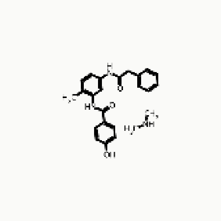 CNC.Cc1ccc(NC(=O)Cc2ccccc2)cc1NC(=O)c1ccc(O)cc1